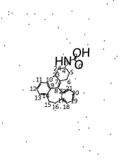 O=C(O)NC1CCC(=C2c3ccccc3CCc3ccccc32)CC1